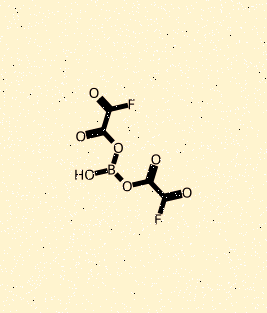 O=C(F)C(=O)OB(O)OC(=O)C(=O)F